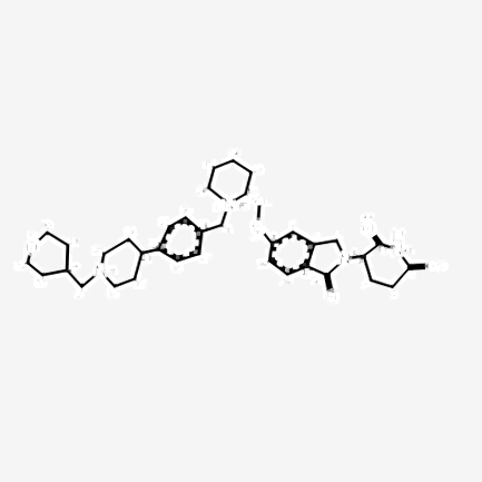 O=C1CCC(N2Cc3cc(OC[C@H]4CCCCN4Cc4ccc(C5CCN(CC6CCOCC6)CC5)cc4)ccc3C2=O)C(=O)N1